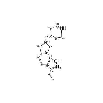 CCc1noc2c3c(ccc12)CN(CC1CCNCC1)C3